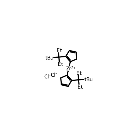 CCC(CC)(C1=[C]([Zr+2][C]2=C(C(CC)(CC)C(C)(C)C)C=CC2)CC=C1)C(C)(C)C.[Cl-].[Cl-]